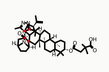 C=C(C)[C@@H]1CC[C@]2(C(=O)N3[C@@H]4CC[C@H]3C[C@@H](n3c(C)nnc3C(C)C)C4)CC[C@]3(C)[C@H](CC[C@@H]4[C@@]5(C)CC[C@H](OC(=O)CC(C)(C)C(=O)O)C(C)(C)[C@@H]5CC[C@]43C)[C@@H]12